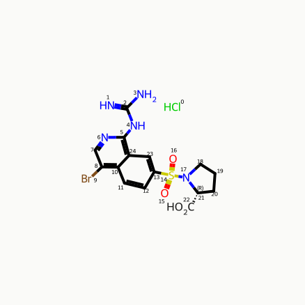 Cl.N=C(N)Nc1ncc(Br)c2ccc(S(=O)(=O)N3CCC[C@@H]3C(=O)O)cc12